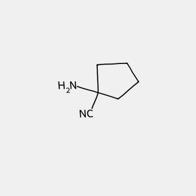 N#CC1(N)CCCC1